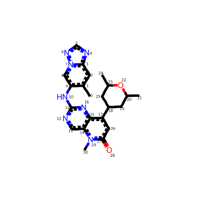 Cc1cc2ncnn2cc1Nc1ncc2c(n1)c(C1CC(C)OC(C)C1)cc(=O)n2C